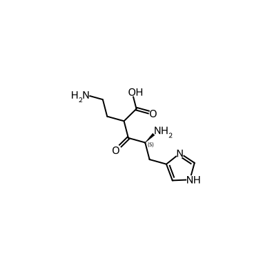 NCCC(C(=O)O)C(=O)[C@@H](N)Cc1c[nH]cn1